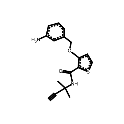 C#CC(C)(C)NC(=O)c1sccc1OCc1cccc(N)c1